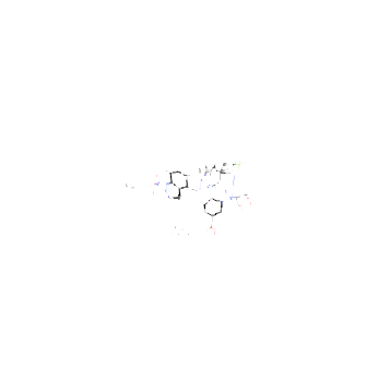 COC(=O)c1ccc([C@@H]2CC3(CCN2Cc2c(OC)cc(C)c4c2ccn4C(=O)OC(C)(C)C)CC(F)(F)C3)c(NC2COC2)c1